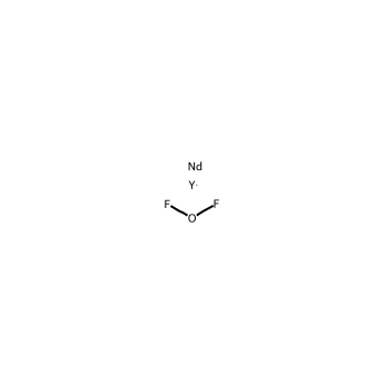 FOF.[Nd].[Y]